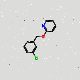 Clc1cccc(COc2ccc[c]n2)c1